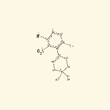 O=[N+]([O-])c1c(Br)ncc(F)c1C1=CCC(F)(F)CC1